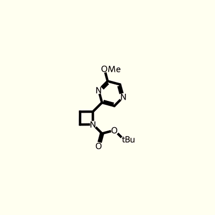 COc1cncc(C2CCN2C(=O)OC(C)(C)C)n1